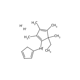 CCC1(C)C(C)=C(C)C(C)=[C]1[Hf][C]1=CC=CC1.[H-].[H-]